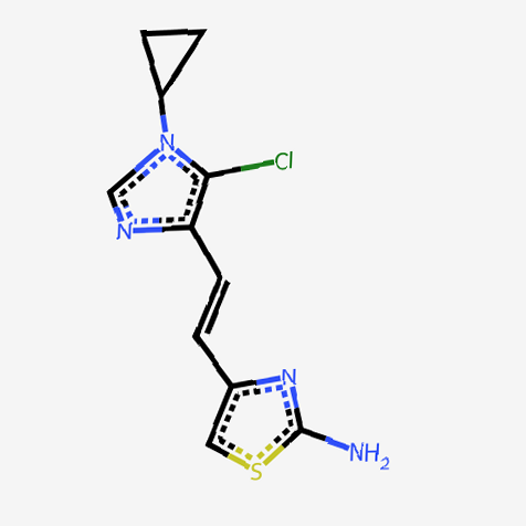 Nc1nc(C=Cc2ncn(C3CC3)c2Cl)cs1